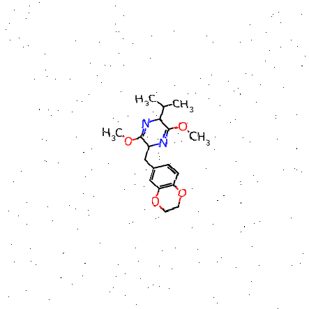 COC1=NC(C(C)C)C(OC)=NC1Cc1ccc2c(c1)OCCO2